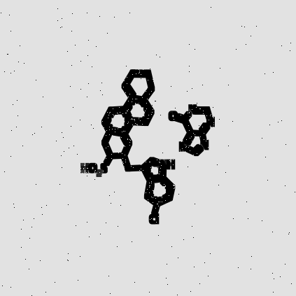 O=C1N=CN=C2N=CN=C12.O=S(=O)(O)C1Cc2ccc3c4c(ccc3c2=CC1Cc1c[nH]c2ccc(Cl)cc12)CC=CC=4